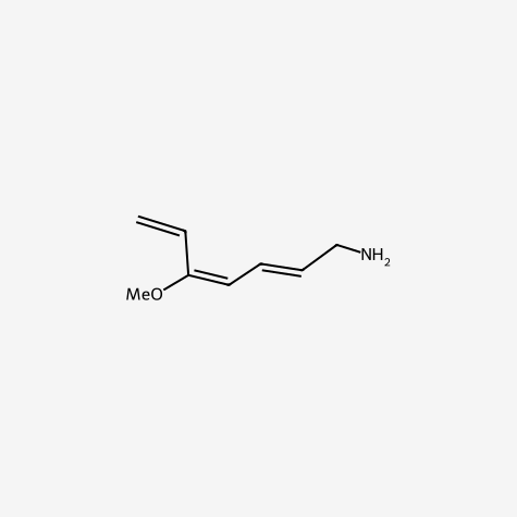 C=C/C(=C\C=C\CN)OC